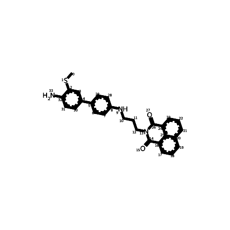 CSc1cc(-c2ccc(NCCCN3C(=O)c4cccc5cccc(c45)C3=O)cc2)ccc1N